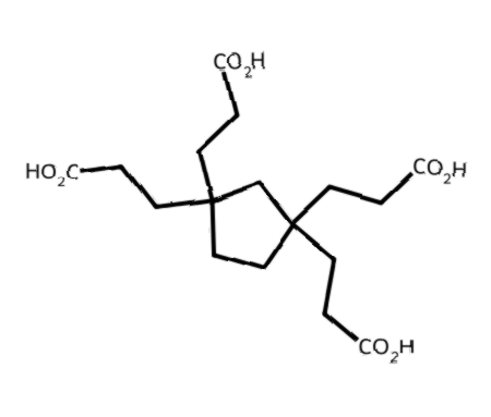 O=C(O)CCC1(CCC(=O)O)CCC(CCC(=O)O)(CCC(=O)O)C1